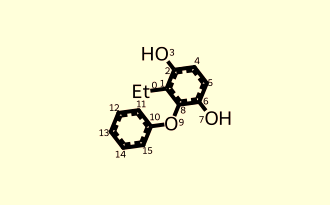 CCc1c(O)ccc(O)c1Oc1ccccc1